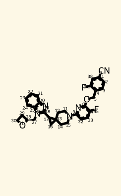 N#Cc1ccc(COc2nc(N3CCC4(CC3)CC4c3nc4ccccc4n3C[C@@H]3CCO3)ccc2F)c(F)c1